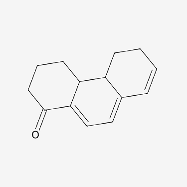 O=C1CCCC2C1=CC=C1C=CCCC12